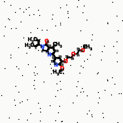 C=C/C(=C\C)N1Cc2nc(-c3cnc(OC)c(OCCOCCOC)c3)cc(C)c2C1=O